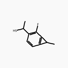 CC(S)c1ccc2c(c1F)C2C